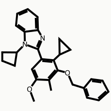 COc1cc(-c2nc3ccccc3n2C2CCC2)c(C2CC2)c(OCc2ccccc2)c1C